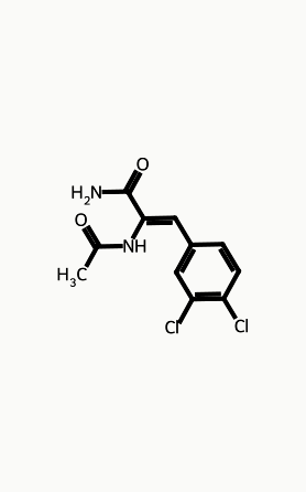 CC(=O)N/C(=C\c1ccc(Cl)c(Cl)c1)C(N)=O